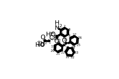 C=CC(=O)O.Nc1ccccc1C(=O)O.O=P(c1ccccc1)(c1ccccc1)c1ccccc1.[Tb]